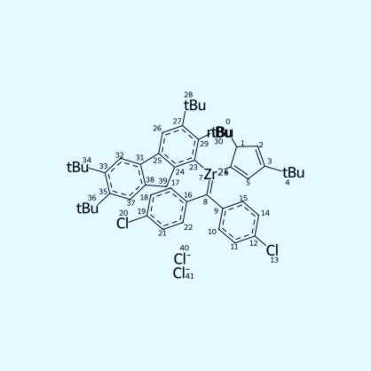 CCCCC1C=C(C(C)(C)C)C=[C]1[Zr+2](=[C](c1ccc(Cl)cc1)c1ccc(Cl)cc1)[c]1c2c(cc(C(C)(C)C)c1C(C)(C)C)-c1cc(C(C)(C)C)c(C(C)(C)C)cc1C2.[Cl-].[Cl-]